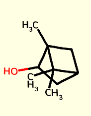 CC1(C)C2CC(O)C1(C)C2